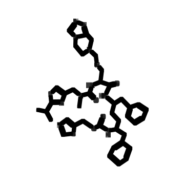 CC(C)c1nc(CN(C)C(=O)NC(COCN2CCn3cnnc3C2)C(=O)NC(CCC(Cc2ccccc2)NC(=O)OCc2cncs2)Cc2ccccc2)cs1